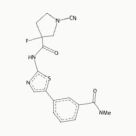 CNC(=O)c1cccc(-c2cnc(NC(=O)C3(F)CCN(C#N)C3)s2)c1